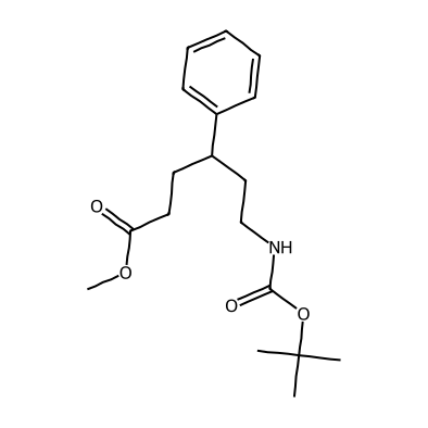 COC(=O)CCC(CCNC(=O)OC(C)(C)C)c1ccccc1